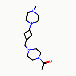 CC(=O)N1CCN(CC2CC(N3CCN(C)CC3)C2)CC1